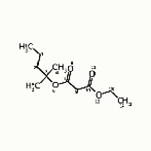 CCCC(C)(C)OC(=O)CC(=O)OCC